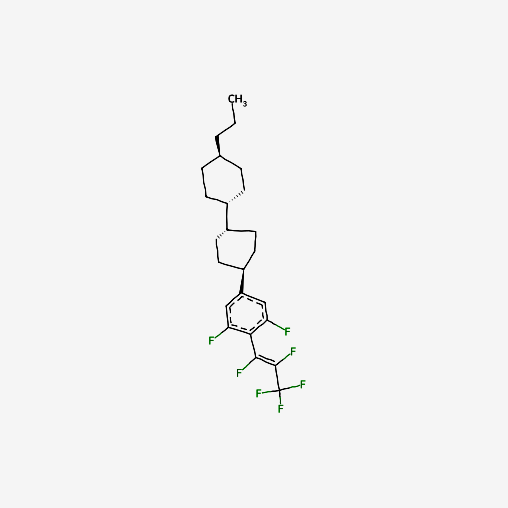 CCC[C@H]1CC[C@H]([C@H]2CC[C@H](c3cc(F)c(C(F)=C(F)C(F)(F)F)c(F)c3)CC2)CC1